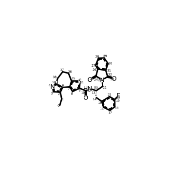 CCc1cnn2c1-c1cc(C(=O)N[C@@H](Cc3cccc(F)c3)CN3C(=O)c4ccccc4C3=O)sc1CCC2